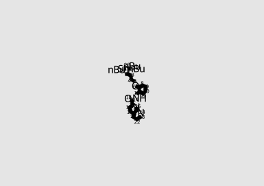 CCC[CH2][Sn]([CH]=CCCOc1ccccc1CNC(=O)c1ccc2cccnc2n1)([CH2]CCC)[CH2]CCC